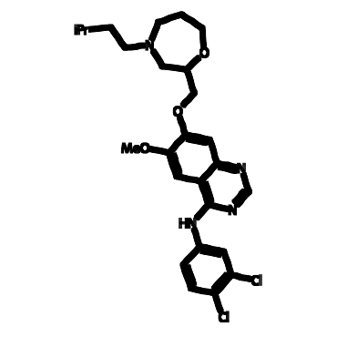 COc1cc2c(Nc3ccc(Cl)c(Cl)c3)ncnc2cc1OCC1CN(CCC(C)C)CCCO1